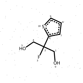 OCC(F)(CO)c1cccs1